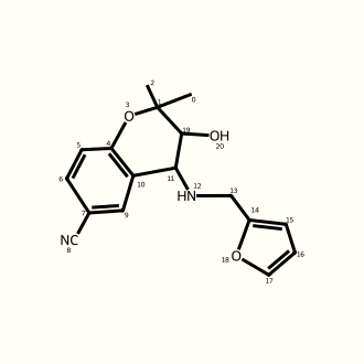 CC1(C)Oc2ccc(C#N)cc2C(NCc2ccco2)C1O